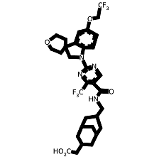 O=C(O)CC1CC2CC(CNC(=O)c3cnc(N4CC5(CCOCC5)c5cc(OCC(F)(F)F)ccc54)nc3C(F)(F)F)CC(C1)C2